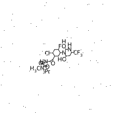 CC(C)N(C)S(=O)(=O)NC1OC1C1CC(N2C(O)CC(C(F)(F)F)NC2O)C(F)CC1Cl